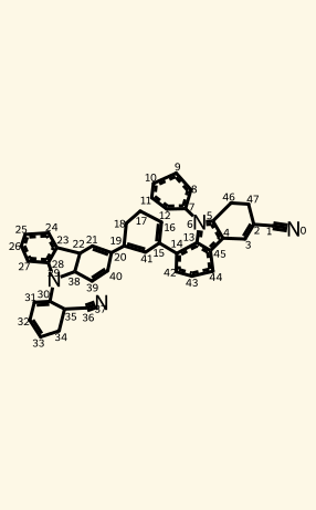 N#CC1=Cc2c(n(-c3ccccc3)c3c(C4=CCCC(C5=CC6c7ccccc7N(C7=CC=CCC7C#N)C6C=C5)=C4)cccc23)CC1